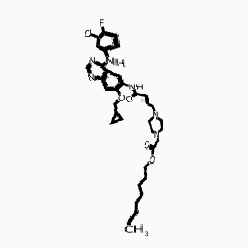 CCCCCCCCOC(=O)CN1CCN(C/C=C/C(=O)Nc2cc3c(Nc4ccc(F)c(Cl)c4)ncnc3cc2OCC2CC2)CC1